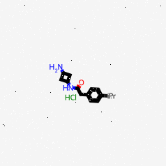 CC(C)c1ccc(CC(=O)NC2CC(N)C2)cc1.Cl